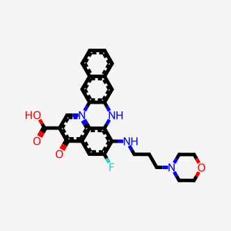 O=C(O)c1cn2c3c(c(NCCCN4CCOCC4)c(F)cc3c1=O)Nc1cc3ccccc3cc1-2